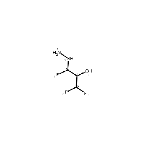 NNC(F)C(O)C(F)F